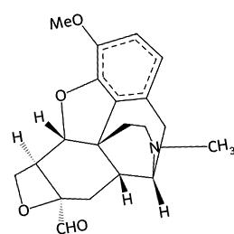 COc1ccc2c3c1O[C@H]1[C@@H]4CO[C@]4(C=O)C[C@H]4[C@@H](C2)N(C)CC[C@@]341